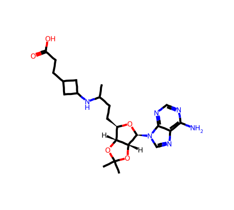 CC(CC[C@H]1O[C@@H](n2cnc3c(N)ncnc32)[C@@H]2OC(C)(C)O[C@@H]21)NC1CC(CCC(=O)O)C1